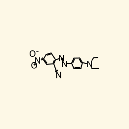 CCN(CC)c1ccc(/N=N/c2ccc([N+](=O)[O-])cc2C#N)cc1